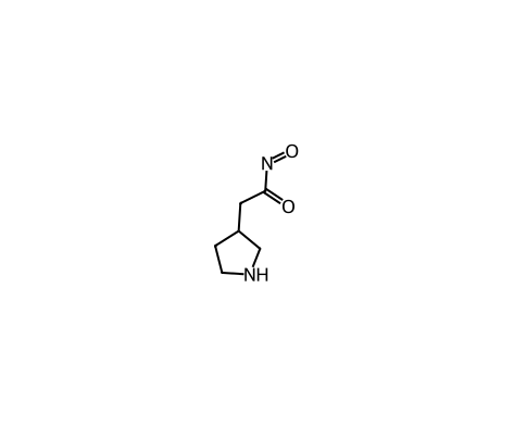 O=NC(=O)CC1CCNC1